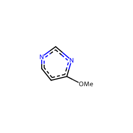 [CH2]Oc1ccncn1